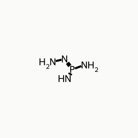 N=P(/N)=N\N